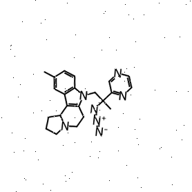 Cc1ccc2c(c1)c1c(n2CC(C)(N=[N+]=[N-])c2cnccn2)CCN2CCCC12